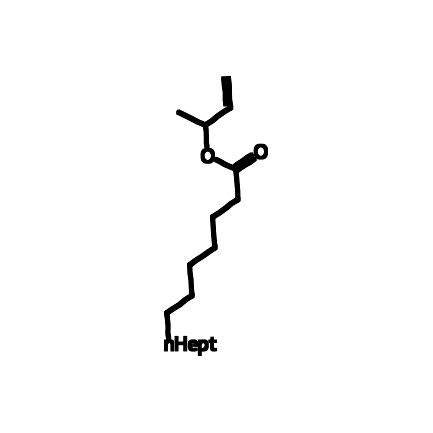 C=CC(C)OC(=O)CCCCCCCCCCCCC